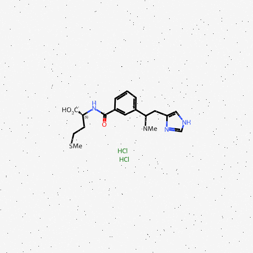 CNC(Cc1c[nH]cn1)c1cccc(C(=O)N[C@@H](CCSC)C(=O)O)c1.Cl.Cl